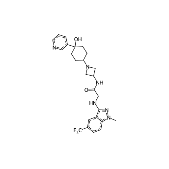 Cn1nc(NCC(=O)NC2CN(C3CCC(O)(c4cccnc4)CC3)C2)c2cc(C(F)(F)F)ccc21